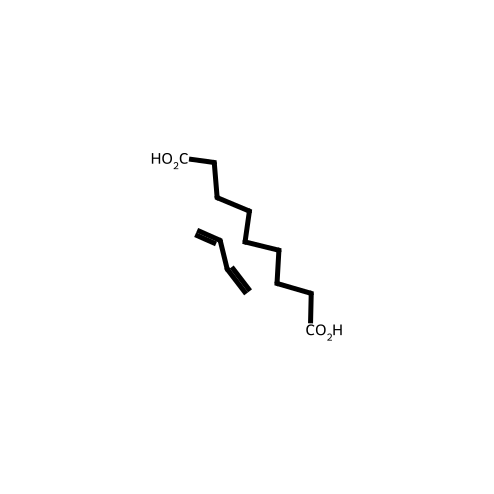 C=CC=C.O=C(O)CCCCCCCC(=O)O